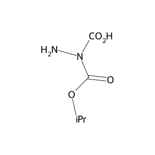 CC(C)OC(=O)N(N)C(=O)O